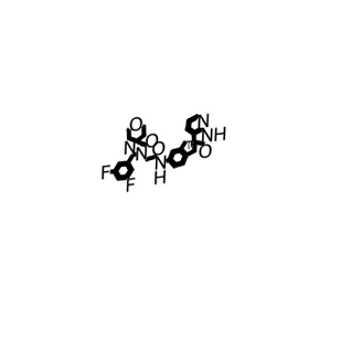 O=C(CN1C(=O)C2(CCOCC2)N=C1c1cc(F)cc(F)c1)Nc1ccc2c(c1)C[C@@]1(C2)C(=O)Nc2ncccc21